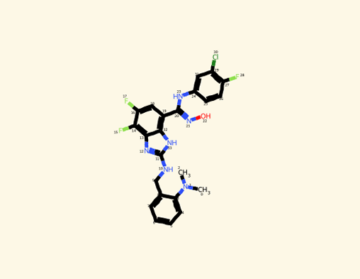 CN(C)c1ccccc1CNc1nc2c(F)c(F)cc(C(=NO)Nc3ccc(F)c(Cl)c3)c2[nH]1